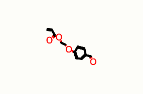 C=CC(=O)OCCOc1ccc(C=O)cc1